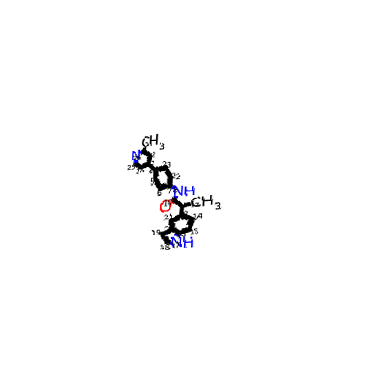 Cc1cc(-c2ccc(NC(=O)C(C)c3ccc4[nH]ccc4c3)cc2)ccn1